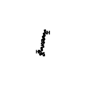 CNCCCCOCSSCCNC(C)SC